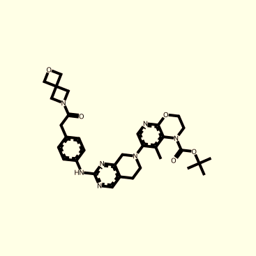 Cc1c(N2CCc3cnc(Nc4ccc(CC(=O)N5CC6(COC6)C5)cc4)nc3C2)cnc2c1N(C(=O)OC(C)(C)C)CCO2